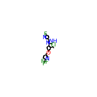 CCc1cc(OCc2ccc(C(F)(F)F)nc2)ccc1C1N=C(c2ccc(F)nc2)NC1Cl